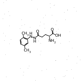 Cc1ccc(C)c(NNC(=O)CC[C@H](N)C(=O)O)c1